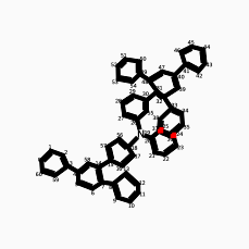 c1ccc(-c2ccc(-c3ccccc3)c(-c3ccc(N(c4ccccc4)c4cccc(-c5c(-c6ccccc6)cc(-c6ccccc6)cc5-c5ccccc5)c4)cc3)c2)cc1